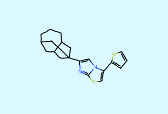 c1csc(-c2csc3nc(C45CC6CCCC(C4)C(C6)C5)cn23)c1